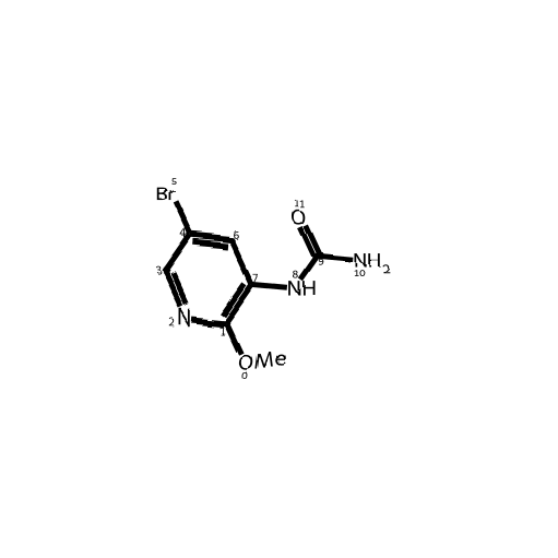 COc1ncc(Br)cc1NC(N)=O